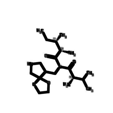 CC[C@H](C)[C@H](N)C(=O)N(CC1CNCC12OCCO2)C(=O)[C@@H](N)C(C)C